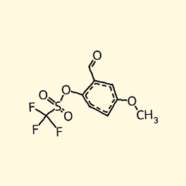 COc1ccc(OS(=O)(=O)C(F)(F)F)c(C=O)c1